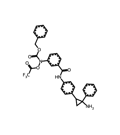 NC1(c2ccccc2)CC1c1ccc(NC(=O)c2cccc(N(OC(=O)C(F)(F)F)C(=O)OCc3ccccc3)c2)cc1